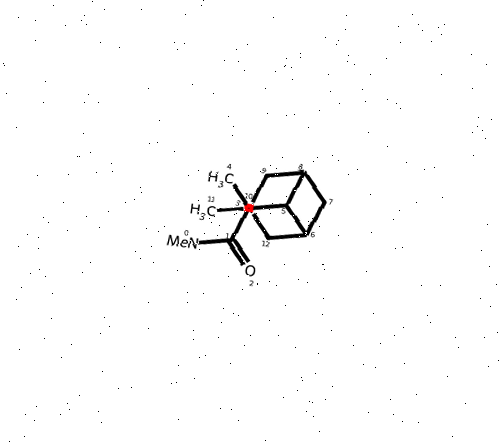 CNC(=O)C(C)C1C2CC1CN(C)C2